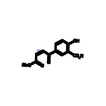 COC(=O)/C=C\C(=O)c1ccc(O)c(C(=O)O)c1